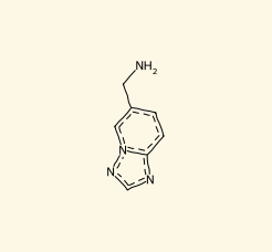 NCc1ccc2ncnn2c1